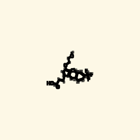 COCCOc1cc(/C=C/C(=O)O)n(Cc2ccc(C(F)(F)F)cc2Cl)n1